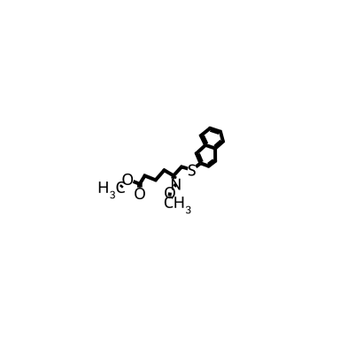 CON=C(CCCC(=O)OC)CSc1ccc2ccccc2c1